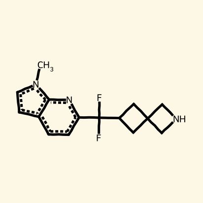 Cn1ccc2ccc(C(F)(F)C3CC4(CNC4)C3)nc21